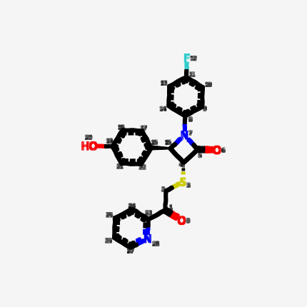 O=C(CS[C@H]1C(=O)N(c2ccc(F)cc2)[C@@H]1c1ccc(O)cc1)c1ccccn1